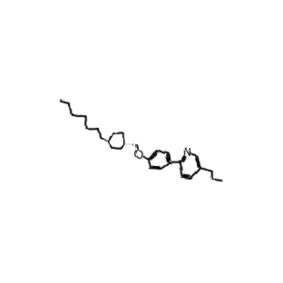 CCCCCCC[C@H]1CC[C@H](COc2ccc(-c3ccc(CCC)cn3)cc2)CC1